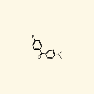 CN(C)c1ccc(C(=O)c2ccc(F)cc2)cc1